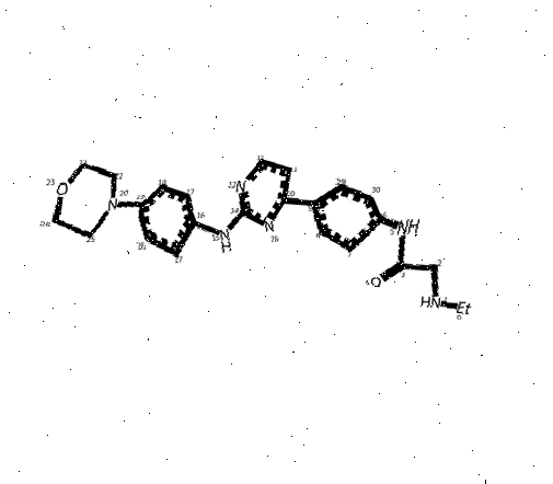 CCNCC(=O)Nc1ccc(-c2ccnc(Nc3ccc(N4CCOCC4)cc3)n2)cc1